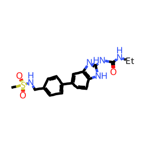 CCNC(=O)Nc1nc2cc(-c3ccc(CNS(C)(=O)=O)cc3)ccc2[nH]1